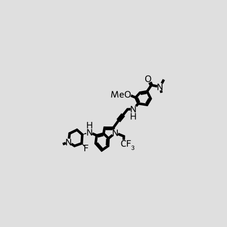 COc1cc(C(=O)N(C)C)ccc1NCC#Cc1cc2c(N[C@H]3CCN(C)C[C@H]3F)cccc2n1CC(F)(F)F